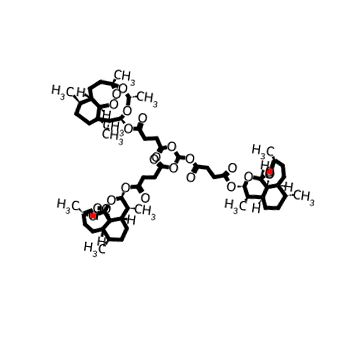 C[C@@H]1O[C@@H](OC(=O)CCC(=O)OC(OC(=O)CCC(=O)O[C@@H]2O[C@@H]3O[C@@]4(C)CC[C@H]5[C@H](C)CC[C@@H]([C@H]2C)[C@@]35OO4)OC(=O)CCC(=O)O[C@@H]2O[C@@H]3O[C@@]4(C)CC[C@H]5[C@H](C)CC[C@@H]([C@H]2C)[C@@]35OO4)[C@H](C)[C@]2(C)CC[C@@H](C)[C@@H]3CC[C@@](C)(OO[C@H]32)O1